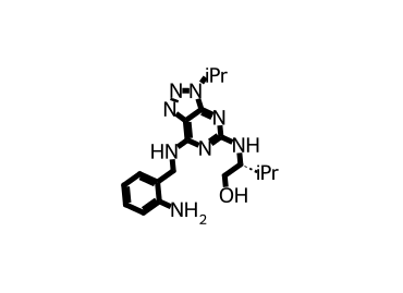 CC(C)[C@H](CO)Nc1nc(NCc2ccccc2N)c2nnn(C(C)C)c2n1